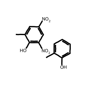 Cc1cc([N+](=O)[O-])cc([N+](=O)[O-])c1O.Cc1ccccc1O